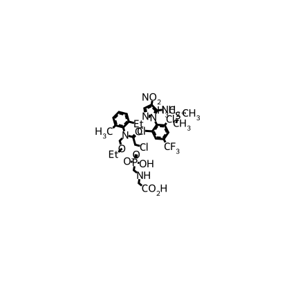 CCOCN(C(=O)CCl)c1c(C)cccc1CC.C[S+](C)C.Nc1c([N+](=O)[O-])cnn1-c1c(Cl)cc(C(F)(F)F)cc1Cl.O=C(O)CNCP(=O)([O-])O